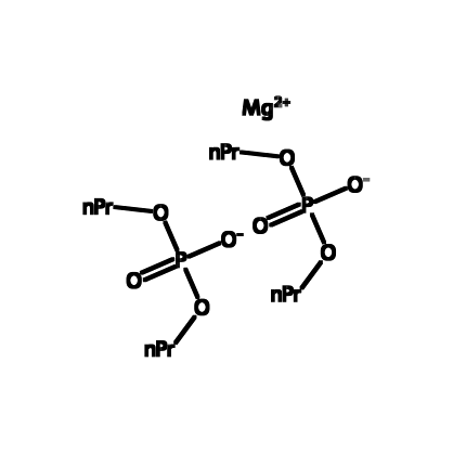 CCCOP(=O)([O-])OCCC.CCCOP(=O)([O-])OCCC.[Mg+2]